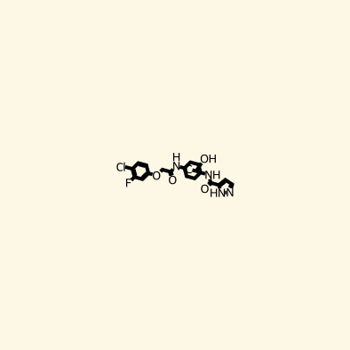 O=C(COc1ccc(Cl)c(F)c1)NC12CCC(NC(=O)c3ccn[nH]3)(CC1)C(O)C2